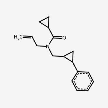 C=CCN(CC1CC1c1ccccc1)C(=O)C1CC1